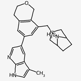 Cc1c[nH]c2ncc(-c3cc4c(c(CN5CC6CCC(C5)N6C)c3)COCC4)cc12